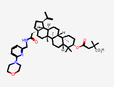 C=C(C)[C@@H]1CC[C@]2(CC(=O)NCc3cccc(N4CCOCC4)n3)CC[C@]3(C)[C@H](CC[C@@H]4[C@@]5(C)CC[C@H](OC(=O)CC(C)(C)C(=O)O)C(C)(C)[C@@H]5CC[C@]43C)[C@@H]12